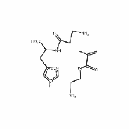 C=C(C)C(=O)NCCN.NCCC(=O)NC(Cc1c[nH]cn1)C(=O)O